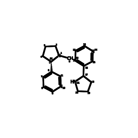 CN1CCC[C@H]1c1cccnc1.c1cncc(C2CCCN2)c1